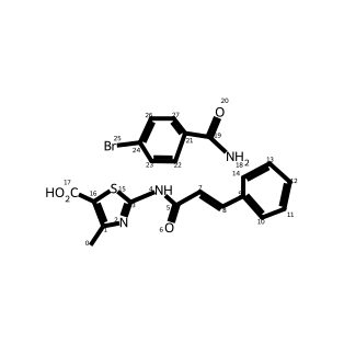 Cc1nc(NC(=O)C=Cc2ccccc2)sc1C(=O)O.NC(=O)c1ccc(Br)cc1